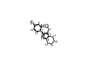 OCc1c2c(nn1-c1ccc(F)cc1)CCCC2